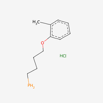 Cc1ccccc1OCCCCP.Cl